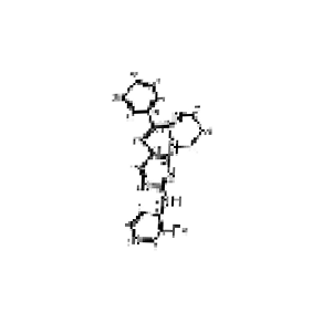 Fc1cnccc1Nc1ncc2c(n1)N1CCCN=C1C(c1ccccc1)=C2